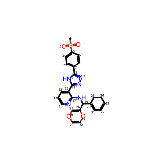 CS(=O)(=O)c1ccc(-c2nnc(-c3cccnc3NC(C3=CC=CCC3)C3=COC=CO3)[nH]2)cc1